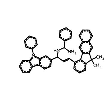 CC1(C)c2cc3ccccc3cc2-c2c(/C=C/C(NC(N)c3ccccc3)c3ccc4c5ccccc5n(-c5ccccc5)c4c3)cccc21